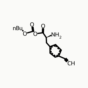 C#Cc1ccc(C[C@H](N)C(=O)OC(=O)OCCCC)cc1